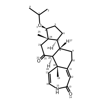 CC(C)O[C@H]1CC[C@H]2[C@@H]3CCC4=CC(=O)NC=C[C@]4(C)[C@H]3C(=O)C[C@]12C